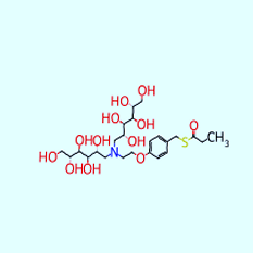 CCC(=O)SCc1ccc(OCCN(C[C@@H](O)[C@@H](O)[C@H](O)[C@H](O)CO)C[C@@H](O)[C@@H](O)[C@H](O)[C@H](O)CO)cc1